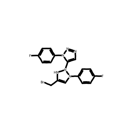 Fc1ccc(N2C=C(CBr)NN2c2cnnn2-c2ccc(F)cc2)cc1